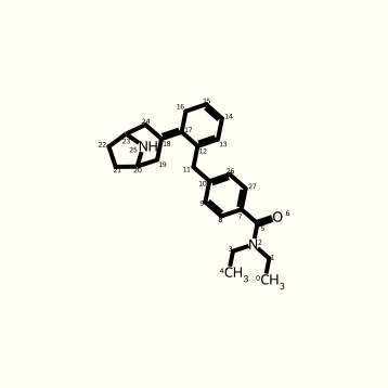 CCN(CC)C(=O)c1ccc(CC2=CC=CCC2=C2CC3CCC(C2)N3)cc1